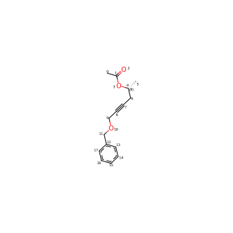 CC(=O)O[C@H](C)CC#CCOCc1ccccc1